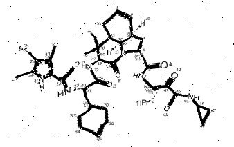 CCC[C@H](NC(=O)[C@@H]1C[C@@H]2CCCC3[C@@H]2N1C(=O)[C@@H](NC(=O)[C@@H](NC(=O)c1[nH]c(C)c(C(C)=O)c1C)C1CCCCC1)C3(C)C)C(=O)C(=O)NC1CC1